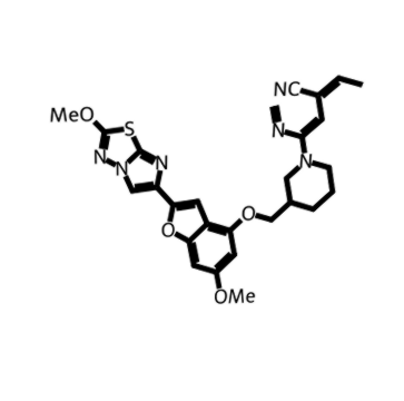 C=N/C(=C\C(C#N)=C/C)N1CCCC(COc2cc(OC)cc3oc(-c4cn5nc(OC)sc5n4)cc23)C1